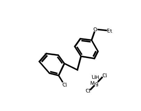 CCOc1ccc(Cc2c[c]ccc2Cl)cc1.[Cl][Mg][Cl].[LiH]